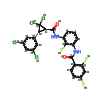 O=C(Nc1cccc(NC(=O)[C@H]2[C@H](c3cc(Cl)cc(Cl)c3)C2(Cl)Cl)c1F)c1ccc(F)cc1F